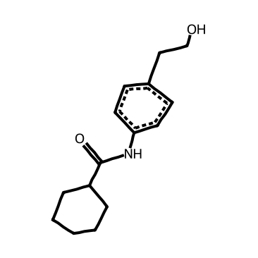 O=C(Nc1ccc(CCO)cc1)C1CCCCC1